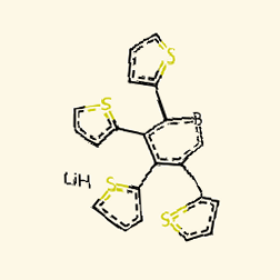 [LiH].b1cc(-c2cccs2)c(-c2cccs2)c(-c2cccs2)c1-c1cccs1